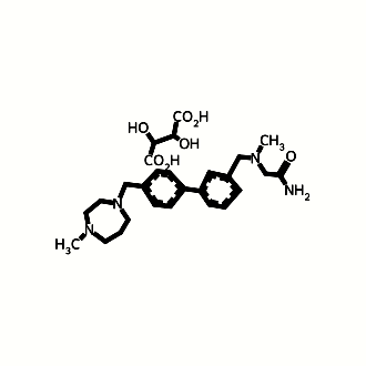 CN1CCCN(Cc2ccc(-c3cccc(CN(C)CC(N)=O)c3)cc2)CC1.O=C(O)C(O)C(O)C(=O)O